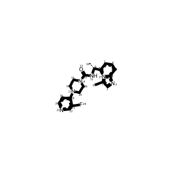 Cc1cnc2cccc([C@@H](C)NC(=O)N3CCN(c4ccncc4F)CC3)n12